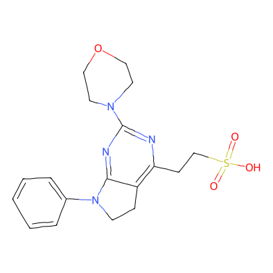 O=S(=O)(O)CCc1nc(N2CCOCC2)nc2c1CCN2c1ccccc1